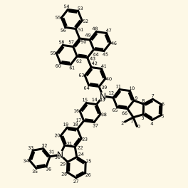 CC1(C)c2ccccc2-c2ccc(N(c3ccc(-c4ccc5c(c4)c4ccccc4n5-c4ccccc4)cc3)c3ccc(-c4c5ccccc5c(-c5ccccc5)c5ccccc45)cc3)cc21